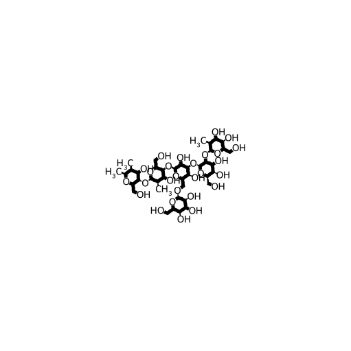 C[C@@H]1OC(CO)[C@@H](O[C@@H]2OC(CO)[C@@H](O[C@@H]3OC(CO[C@H]4OC(CO)[C@@H](O)C(O)[C@H]4O)[C@@H](O)[C@H](O[C@H]4O[C@H](CO)[C@@H](O)C(O)C4O[C@@H]4OC(CO)[C@@H](O)C(O)[C@@H]4C)C3O)C(O)[C@@H]2C)C(O)[C@@H]1C